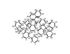 c1ccc(-c2cccc3c2-c2ccc(N(c4ccc5c(c4)C(c4ccccc4)(c4ccccc4)c4ccccc4-5)c4cccc5ccccc45)cc2C32c3ccccc3-c3cccc4cccc2c34)cc1